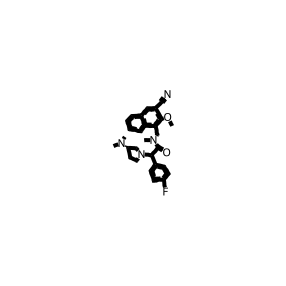 COc1c(C#N)cc2ccccc2c1CN(C)C(=O)C(c1ccc(F)cc1)N1CC[C@H](N(C)C)C1